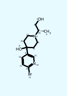 C[C@@H](CO)N1CCC(O)(c2ccc(Br)nc2)CC1